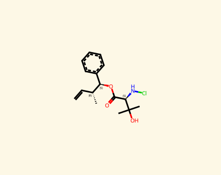 C=C[C@@H](C)[C@H](OC(=O)[C@@H](NCl)C(C)(C)O)c1ccccc1